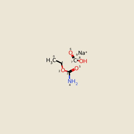 CCOC(N)=O.O=[C-]O.[Na+]